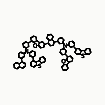 c1cc(-c2ccc3sc4ccccc4c3c2)cc(N(c2cccc(-c3ccc(-c4ccc5oc6c(-c7cccc(N(c8cccc(-c9cccc%10ccccc9%10)c8)c8cccc(-c9cccc%10sc%11ccccc%11c9%10)c8)c7)cccc6c5c4)c4ccccc34)c2)c2cccc(-c3cccc4c3oc3ccccc34)c2)c1